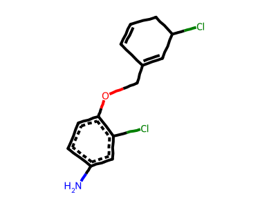 Nc1ccc(OCC2=CC(Cl)CC=C2)c(Cl)c1